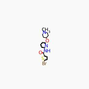 CN1CCC(Oc2cccc(NC(=O)c3ccc(Br)s3)n2)CC1